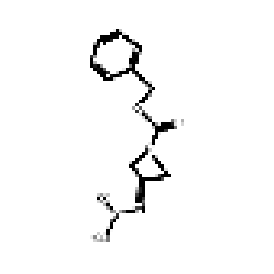 CC(C)(C)[S+]([O-])N=C1CN(C(=O)OCc2ccccc2)C1